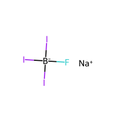 F[B-](I)(I)I.[Na+]